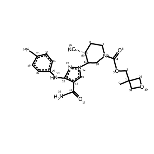 CC1(COC(=O)N2CC[C@@H](C#N)C(n3cc(C(N)=O)c(Nc4ccc(F)cc4)n3)C2)COC1